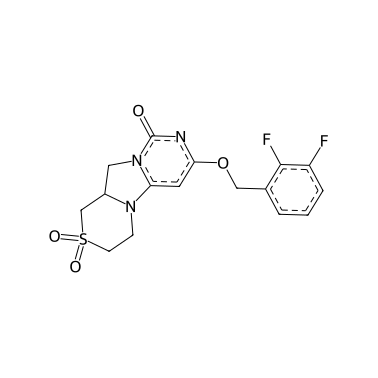 O=c1nc(OCc2cccc(F)c2F)cc2n1CC1CS(=O)(=O)CCN21